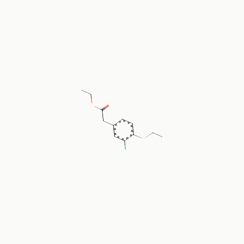 CCOC(=O)Cc1ccc(SCC)c(F)c1